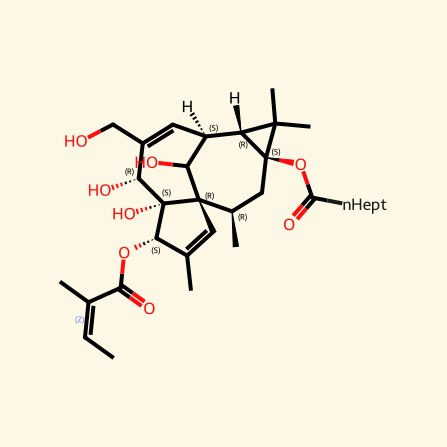 C/C=C(/C)C(=O)O[C@H]1C(C)=C[C@]23C(O)[C@@H](C=C(CO)[C@@H](O)[C@]12O)[C@@H]1C(C)(C)[C@]1(OC(=O)CCCCCCC)C[C@H]3C